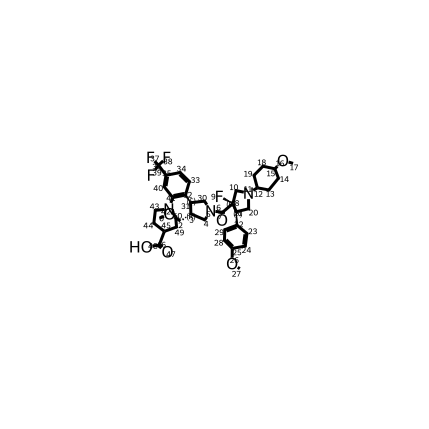 COC[C@H]1CN(C(=O)[C@]2(F)CN(C3CCC(OC)CC3)C[C@H]2c2ccc(OC)cc2)C[C@@H]1c1ccc(C(F)(F)F)cc1N1CCC(C(=O)O)CC1